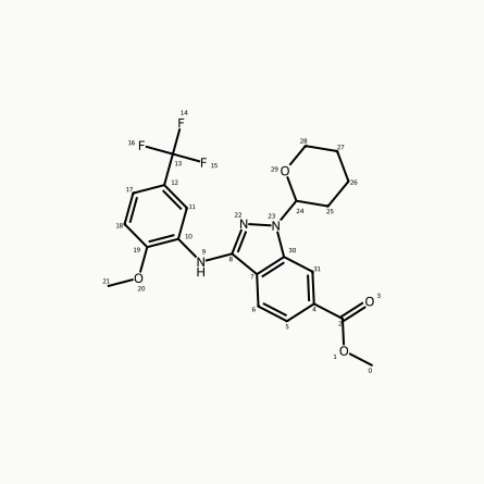 COC(=O)c1ccc2c(Nc3cc(C(F)(F)F)ccc3OC)nn(C3CCCCO3)c2c1